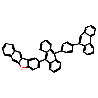 c1ccc2cc3c(cc2c1)oc1ccc(-c2c4ccccc4c(-c4ccc(-c5cc6ccccc6c6ccccc56)cc4)c4ccccc24)cc13